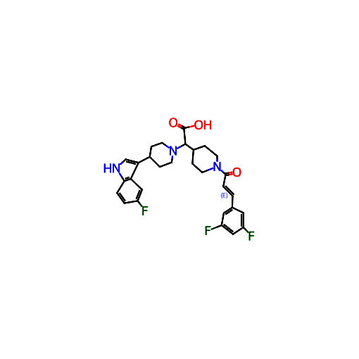 O=C(O)C(C1CCN(C(=O)/C=C/c2cc(F)cc(F)c2)CC1)N1CCC(c2c[nH]c3ccc(F)cc23)CC1